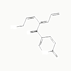 C=C/C=C(\C=C/CO)C(=O)C(/C=C\C(=C)O)=C/C